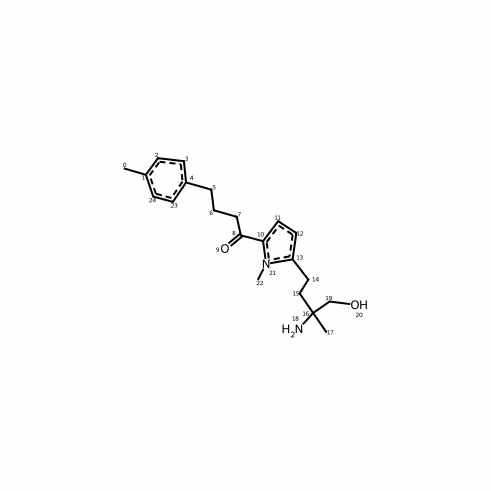 Cc1ccc(CCCC(=O)c2ccc(CCC(C)(N)CO)n2C)cc1